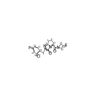 O=C([C@@H]1CCCc2nn(Cc3ccc(F)cc3Cl)c(=O)n21)N1CC(F)C1